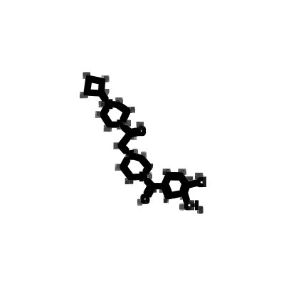 Cc1cc(C(=O)N2CCN(CC(=O)N3CCN(C4CCC4)CC3)CC2)ccc1Cl